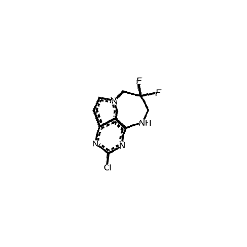 FC1(F)CNc2nc(Cl)nc3ccn(c23)C1